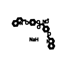 CON=C(C(=O)Oc1ccc(OCc2ccc3ccccc3n2)cc1)c1ccc(OCc2ccc3ccccc3n2)cc1.[NaH]